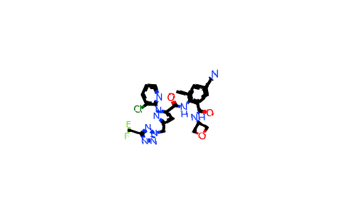 Cc1cc(C#N)cc(C(=O)NC2COC2)c1NC(=O)c1cc(Cn2nnc(C(F)F)n2)nn1-c1ncccc1Cl